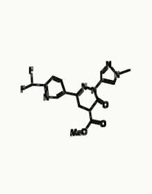 COC(=O)C1CC(c2ccc(C(F)F)nc2)=NN(c2cnn(C)c2)C1=O